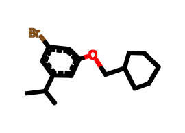 CC(C)c1cc(Br)cc(OCC2CCCCC2)c1